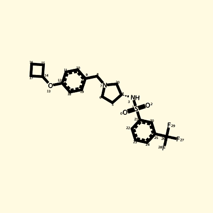 O=S(=O)(N[C@@H]1CCN(Cc2ccc(OC3CCC3)cc2)C1)c1cccc(C(F)(F)F)c1